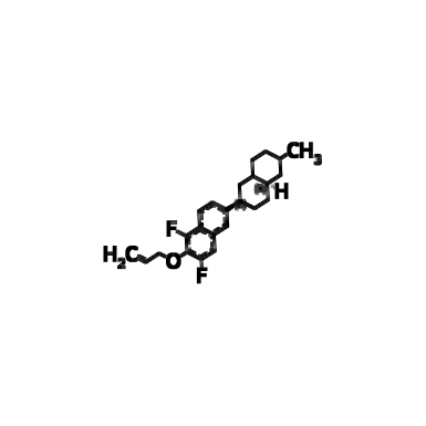 C=CCOc1c(F)cc2cc([C@@H]3CC[C@@H]4CC(C)CCC4C3)ccc2c1F